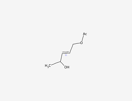 CC(=O)OC/C=C/C(C)O